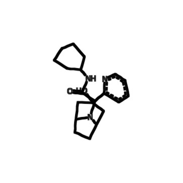 O=C(CN1C2CCC1CC(O)(c1ccccn1)C2)NC1CCCCC1